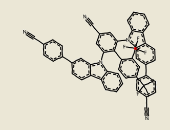 N#Cc1ccc(-c2ccc3c4ccccc4n(-c4cc(C#N)cc(-n5c6ccccc6c6ccc(-c7ccc(C#N)cc7)cc65)c4-c4ccc(C(F)(F)F)cc4C(F)(F)F)c3c2)cc1